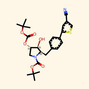 CC(C)(C)OC(=O)O[C@H]1CN(C(=O)OC(C)(C)C)[C@H](Cc2ccc(-c3cc(C#N)cs3)cc2)[C@@H]1O